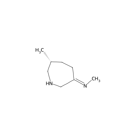 C/N=C1\CC[C@@H](C)CNC1